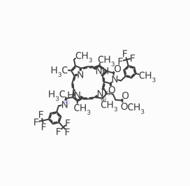 CCC1=C(C)c2cc3[nH]c(cc4nc(c5c6[nH]c(cc1n2)c(C)c6C(=O)N(Cc1cc(C)cc(C(F)(F)F)c1)C5=O)[C@@H](CCC(=O)OC)[C@@H]4C)c(C)c3/C(C)=N/Cc1cc(C(F)(F)F)cc(C(F)(F)F)c1